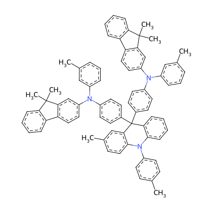 Cc1ccc(N2c3ccccc3C(c3ccc(N(c4cccc(C)c4)c4ccc5c(c4)C(C)(C)c4ccccc4-5)cc3)(c3ccc(N(c4cccc(C)c4)c4ccc5c(c4)C(C)(C)c4ccccc4-5)cc3)c3cc(C)ccc32)cc1